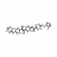 Cc1ncsc1CCN1CCN(C(=O)Oc2ccc(NC(=O)c3ccc(CN4CCOCC4)cc3)cc2)CC1